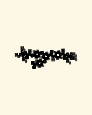 CC(C)(C)OC(=O)NCc1ccc(Oc2cc(Oc3ccc([N+](=O)[O-])nc3)cc(C(=O)NC3CCC(NC(=O)OC(C)(C)C)CC3)c2)cc1